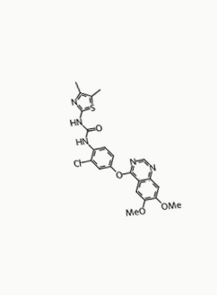 COc1cc2ncnc(Oc3ccc(NC(=O)Nc4nc(C)c(C)s4)c(Cl)c3)c2cc1OC